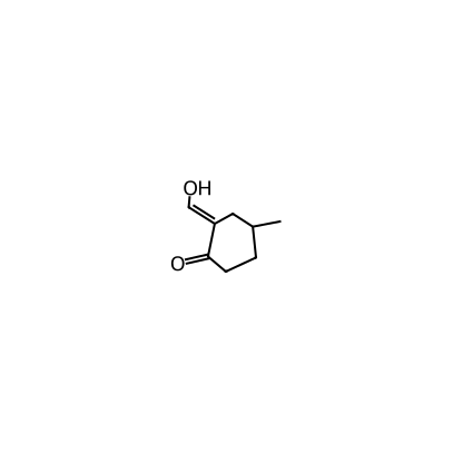 CC1CCC(=O)C(=CO)C1